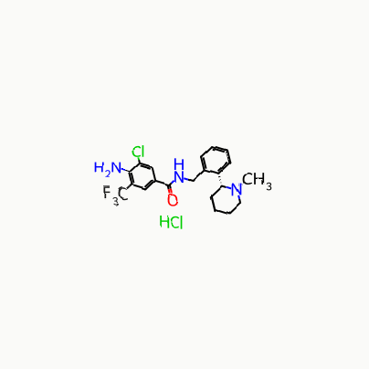 CN1CCCC[C@@H]1c1ccccc1CNC(=O)c1cc(Cl)c(N)c(C(F)(F)F)c1.Cl